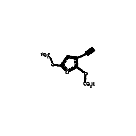 C#Cc1cc(OC(=O)O)oc1OC(=O)O